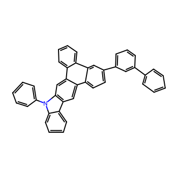 c1ccc(-c2cccc(-c3ccc4c(c3)c3ccccc3c3cc5c(cc43)c3ccccc3n5-c3ccccc3)c2)cc1